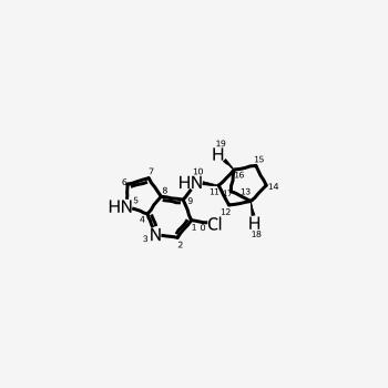 Clc1cnc2[nH]ccc2c1N[C@@H]1C[C@H]2CC[C@@H]1C2